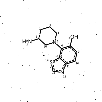 NC1CCCN(c2c(O)ccc3ncsc23)C1